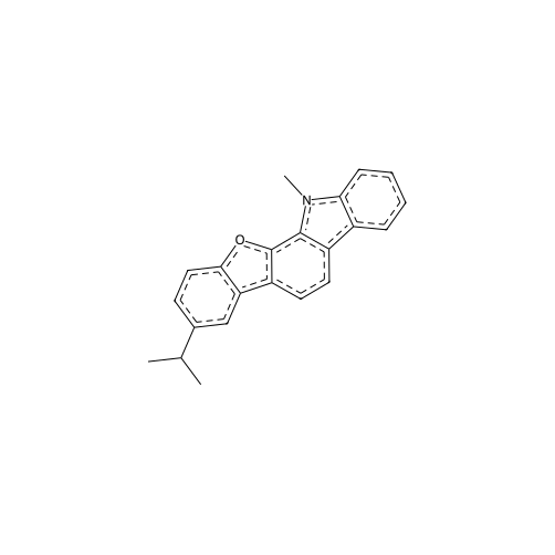 CC(C)c1ccc2oc3c(ccc4c5ccccc5n(C)c43)c2c1